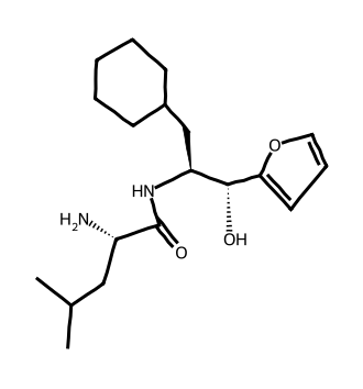 CC(C)C[C@H](N)C(=O)N[C@@H](CC1CCCCC1)[C@@H](O)c1ccco1